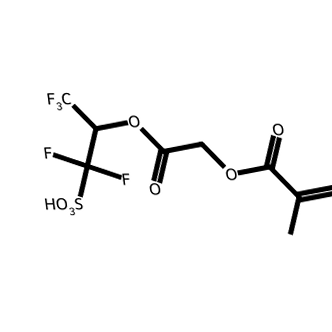 C=C(C)C(=O)OCC(=O)OC(C(F)(F)F)C(F)(F)S(=O)(=O)O